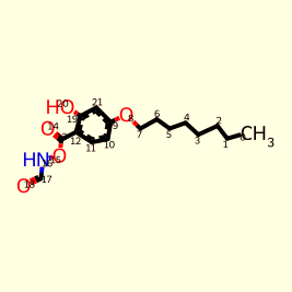 CCCCCCCCOc1ccc(C(=O)ONC=O)c(O)c1